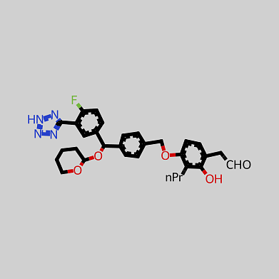 CCCc1c(OCc2ccc(C(OC3CCCCO3)c3ccc(F)c(-c4nn[nH]n4)c3)cc2)ccc(CC=O)c1O